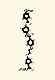 COC(=O)c1ccc(OCCOc2ccc(C(=O)Oc3ccc(OC(=O)c4ccc(OC)cc4)cc3)cc2)cc1